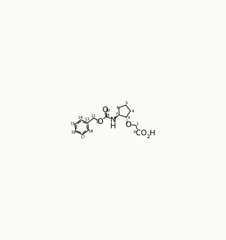 O=C(O)CO[C@H]1CCC[C@@H]1NC(=O)OCc1ccccc1